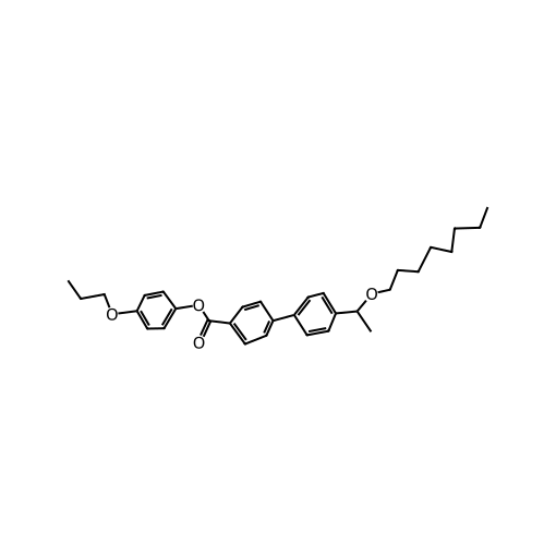 CCCCCCCCOC(C)c1ccc(-c2ccc(C(=O)Oc3ccc(OCCC)cc3)cc2)cc1